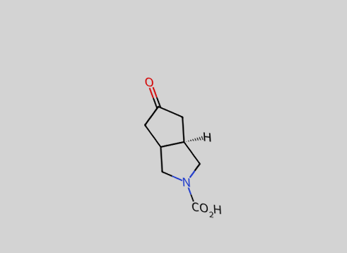 O=C1CC2CN(C(=O)O)C[C@@H]2C1